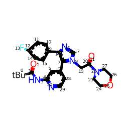 CC(C)(C)C(=O)Nc1cc(-c2c(-c3ccc(F)cc3)ncn2CC(=O)N2CCOCC2)ccn1